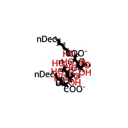 CCCCCCCCCCCCCCCC(=O)[O-].CCCCCCCCCCCCCCCC(=O)[O-].O=C1O[C@H]([C@@H](O)CO)C(O)=C1O.O=C1O[C@H]([C@@H](O)CO)C(O)=C1O.[Ca+2]